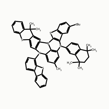 Cc1cc2c3c(c1)N(c1cccc4c1sc1ccccc14)c1cc4c(cc1B3c1sc3ccc(C(C)(C)C)cc3c1N2c1ccc2c(c1)C(C)(C)CCC2(C)C)C(C)(C)c1ccccc1S4